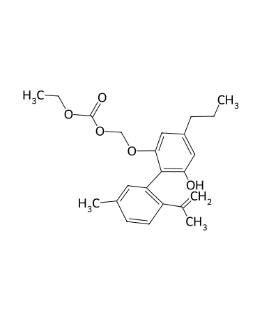 C=C(C)c1ccc(C)cc1-c1c(O)cc(CCC)cc1OCOC(=O)OCC